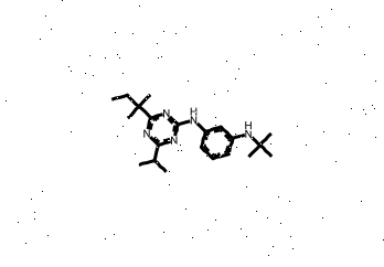 CCC(C)(C)c1nc(Nc2cccc(NC(C)(C)C)c2)nc(C(C)C)n1